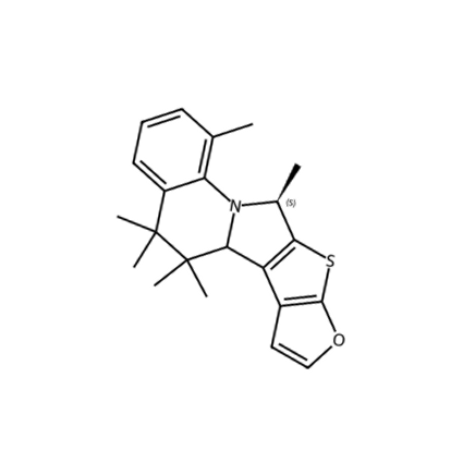 Cc1cccc2c1N1C(c3c(sc4occc34)[C@@H]1C)C(C)(C)C2(C)C